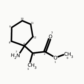 COC(=O)C(C)C1(N)CCCCC1